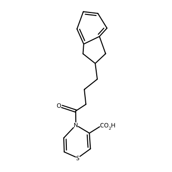 O=C(O)C1=CSC=CN1C(=O)CCCC1Cc2ccccc2C1